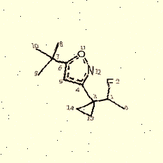 CC(F)C1(c2cc(C(C)(C)C)on2)CC1